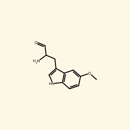 COc1ccc2[nH]cc(CC(N)[C]=O)c2c1